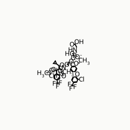 CCOc1cc(Oc2ccc(C(F)(F)F)cc2Cl)ccc1[N+](=O)[O-].CS(=O)(=O)c1cc(C(F)(F)F)ccc1C(=O)c1cnoc1C1CC1.C[S+](C)C.O=C(O)CNCP(=O)([O-])O